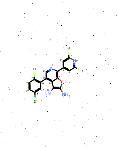 Nc1oc2c(-c3cc(F)nc(F)c3)ncc(-c3cc(Cl)ccc3F)c2c1N